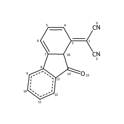 N#CC(C#N)=C1C=CC=C2c3ccccc3C(=O)C21